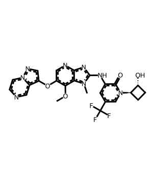 COc1c(Oc2cnn3ccncc23)cnc2nc(Nc3cc(C(F)(F)F)cn([C@@H]4CC[C@H]4O)c3=O)n(C)c12